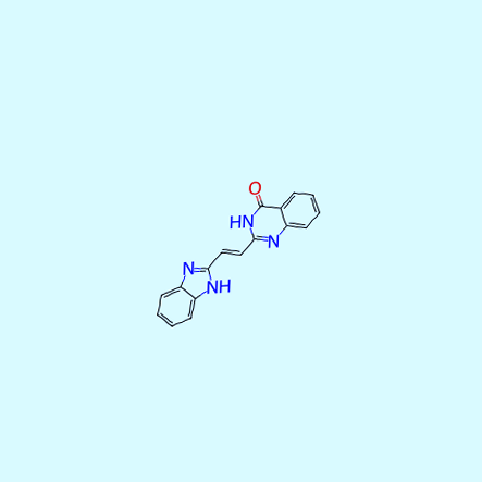 O=c1[nH]c(/C=C/c2nc3ccccc3[nH]2)nc2ccccc12